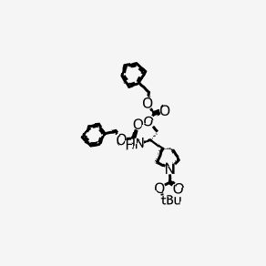 CC(C)(C)OC(=O)N1CC[C@@H]([C@@H](COC(=O)OCc2ccccc2)NC(=O)OCc2ccccc2)C1